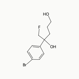 OCCCC(O)(CF)c1ccc(Br)cc1